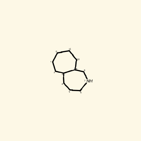 C1CCC2CCCNCC2CC1